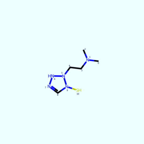 CN(C)CCN1NN=CN1S